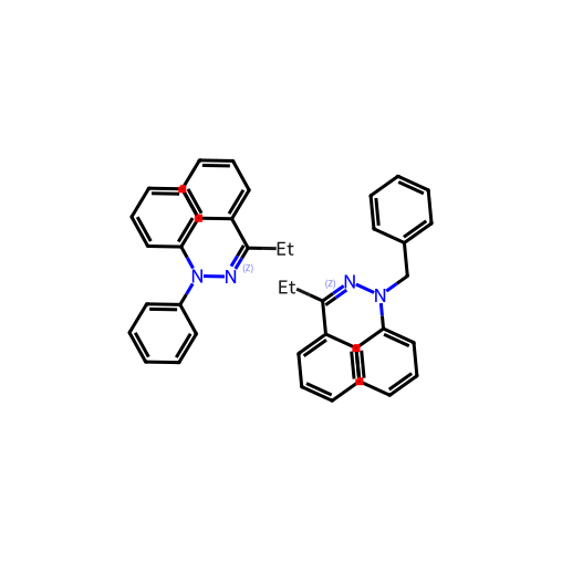 CC/C(=N/N(Cc1ccccc1)c1ccccc1)c1ccccc1.CC/C(=N/N(c1ccccc1)c1ccccc1)c1ccccc1